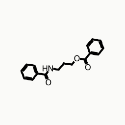 O=C(NCCCOC(=O)c1ccccc1)c1ccccc1